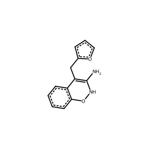 NC1=C(Cc2ccco2)c2ccccc2ON1